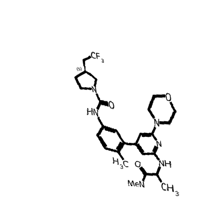 CNC(=O)C(C)Nc1cc(-c2cc(NC(=O)N3CC[C@@H](CC(F)(F)F)C3)ccc2C)cc(N2CCOCC2)n1